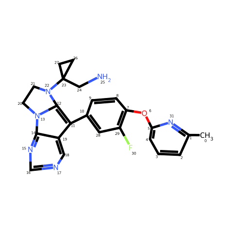 Cc1cccc(Oc2ccc(-c3c4n(c5ncncc35)CCN4C3(CN)CC3)cc2F)n1